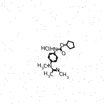 CN=C(C)N(C)c1ccc(NC(=O)OC2CCCC2)cc1.Cl